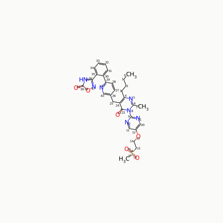 CCCCc1nc(C)n(-c2ncc(OCCS(C)(=O)=O)cn2)c(=O)c1Cc1ccc(-c2ccccc2-c2noc(=O)[nH]2)nc1